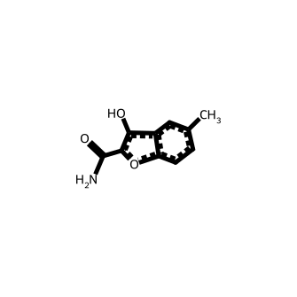 Cc1ccc2oc(C(N)=O)c(O)c2c1